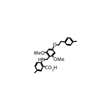 COc1cc(OCCc2ccc(C)cc2)cc(OC)c1CNc1ccc(C)cc1C(=O)O